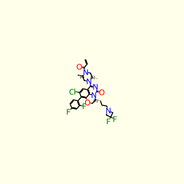 C=CC(=O)N1C[C@H](C)N(c2nc(=O)n3c4c(c(-c5ccc(F)cc5F)c(Cl)cc24)OC[C@H]3CCCN2CC(F)(F)C2)C[C@H]1C